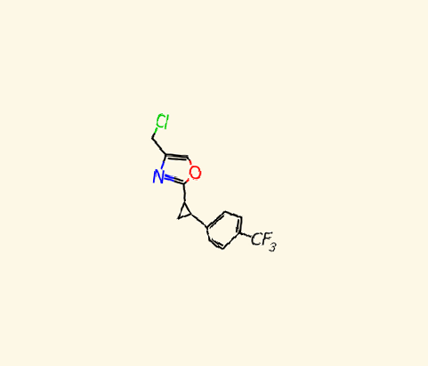 FC(F)(F)c1ccc(C2CC2c2nc(CCl)co2)cc1